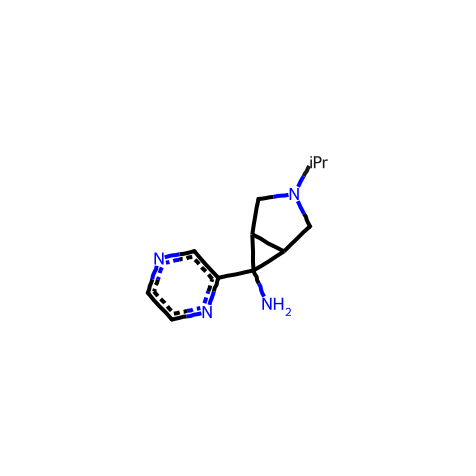 CC(C)N1CC2C(C1)C2(N)c1cnccn1